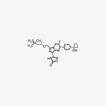 C[Si](C)(C)CCOCn1cc(-c2noc(=O)[nH]2)c2nc(-c3ccc(C4(O)CCC4)cc3)c(F)cc21